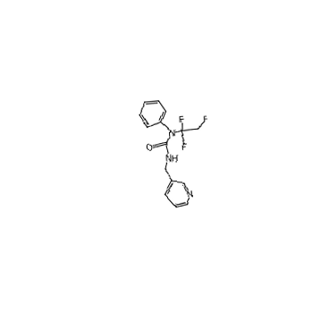 O=C(NCc1cccnc1)N(c1ccccc1)C(F)(F)CF